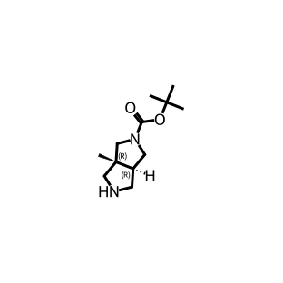 CC(C)(C)OC(=O)N1C[C@H]2CNC[C@]2(C)C1